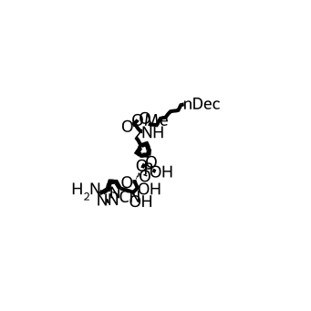 CCCCCCCCCCCCCCCCC(=O)N[C@@H](Cc1ccc(OP(=O)(O)OC[C@H]2O[C@@](C#N)(c3ccc4c(N)ncnn34)[C@H](O)[C@@H]2O)cc1)C(=O)OC